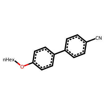 CCCCCCOc1ccc(-c2ccc(C#N)cc2)cc1